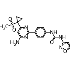 CS(=O)(=O)C1(c2cc(N)nc(-c3ccc(NC(=O)Nc4ccon4)cc3)n2)CC1